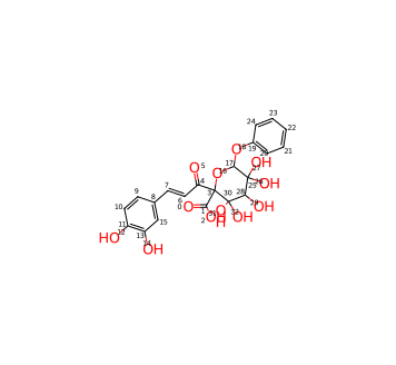 O=C(O)C1(C(=O)C=Cc2ccc(O)c(O)c2)OC(Oc2ccccc2)C(O)(O)C(O)C1(O)O